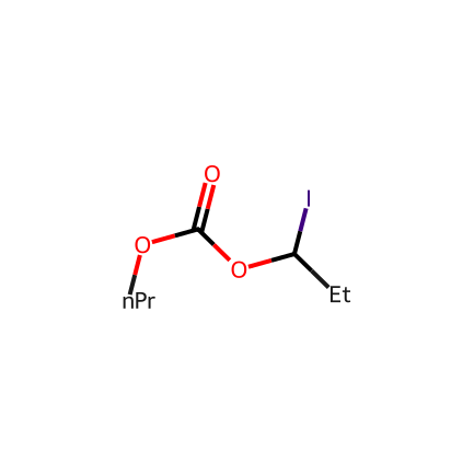 CCCOC(=O)OC(I)CC